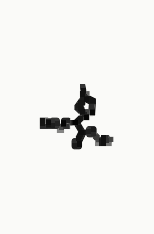 CCCOC(=O)C(C(=O)OCC)[n+]1ccn(C)c1